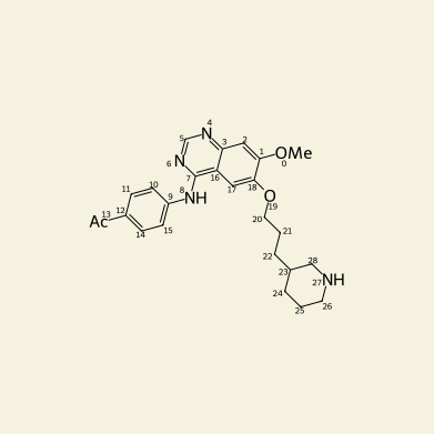 COc1cc2ncnc(Nc3ccc(C(C)=O)cc3)c2cc1OCCCC1CCCNC1